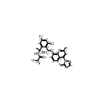 B[C@@](C)(NC(=O)[C@@H](C)F)c1cc(F)cc(Cl)c1COc1cccc2c(-n3ncnc3C)cc(C)nc12